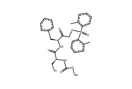 Cc1ccccc1P(=O)(OCC(=O)[C@H](Cc1ccccc1)NC(=O)[C@H](CC(C)C)NC(=O)OC(C)(C)C)c1ccccc1C